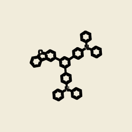 c1ccc(N(c2ccccc2)c2ccc(-c3cc(-c4ccc(N(c5ccccc5)c5ccccc5)cc4)cc(-c4ccc5oc6ccccc6c5c4)c3)cc2)cc1